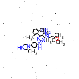 COC(C)(C)CCn1nc(N)c2c(-c3c(C)cccc3C)nc(Nc3ccc(N4CCNCC4C)cc3)nc21